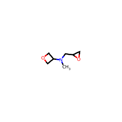 CN(CC1CO1)C1COC1